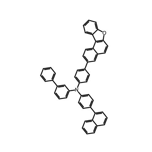 c1ccc(-c2cccc(N(c3ccc(-c4ccc5c(ccc6oc7ccccc7c65)c4)cc3)c3ccc(-c4cccc5ccccc45)cc3)c2)cc1